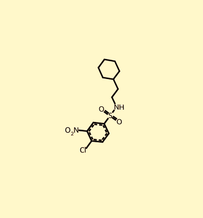 O=[N+]([O-])c1cc(S(=O)(=O)NCCC2CCCCC2)ccc1Cl